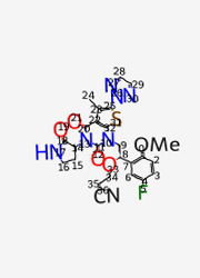 COc1ccc(F)cc1[C@H](Cn1c(=O)n(C2CCNC2=O)c(=O)c2c(C)c(-n3nccn3)sc21)OCCC#N